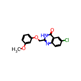 COc1cccc(OCc2nc3ccc(Cl)cc3c(=O)[nH]2)c1